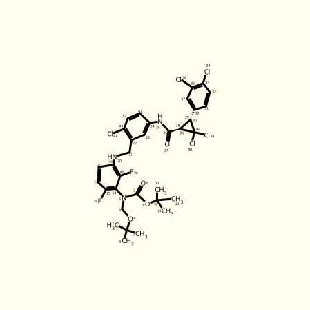 CC(C)(C)OCN(C(=O)OC(C)(C)C)c1c(F)ccc(NCc2cc(NC(=O)[C@H]3[C@H](c4ccc(Cl)c(Cl)c4)C3(Cl)Cl)ccc2Cl)c1F